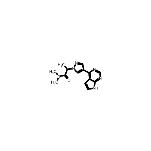 CC(C(=O)N(C)C)n1cc(-c2ncnc3[nH]ccc23)cn1